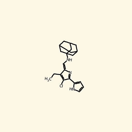 CCC1=C(Cl)C(c2ccc[nH]2)=NC1=CNC12CC3CC(CC(C3)C1)C2